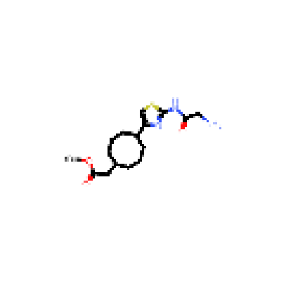 CC(C)(C)OC(=O)CC1CCCC(c2csc(NC(=O)CN)n2)CCC1